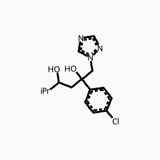 CC(C)C(O)CC(O)(Cn1cncn1)c1ccc(Cl)cc1